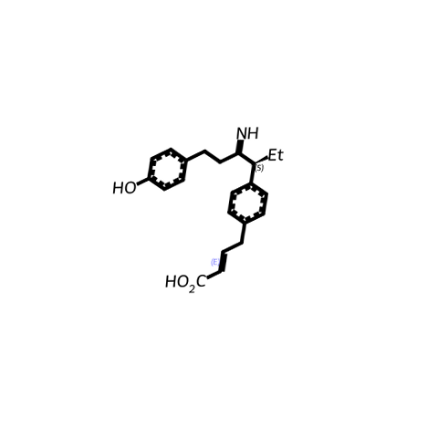 CC[C@H](C(=N)CCc1ccc(O)cc1)c1ccc(C/C=C/C(=O)O)cc1